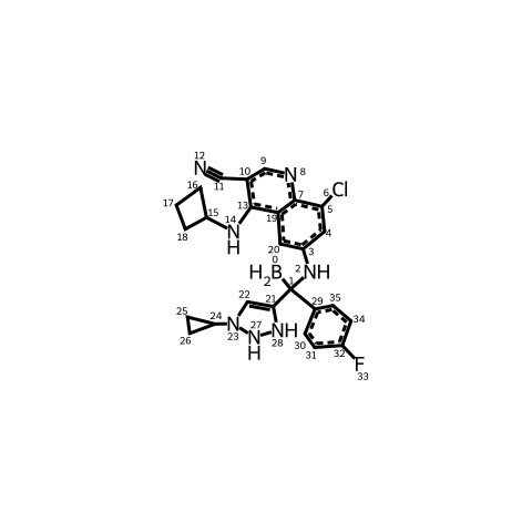 BC(Nc1cc(Cl)c2ncc(C#N)c(NC3CCC3)c2c1)(C1=CN(C2CC2)NN1)c1ccc(F)cc1